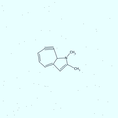 CC1=CC2=CC=CC#CC2N1C